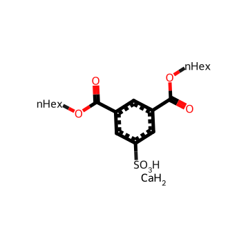 CCCCCCOC(=O)c1cc(C(=O)OCCCCCC)cc(S(=O)(=O)O)c1.[CaH2]